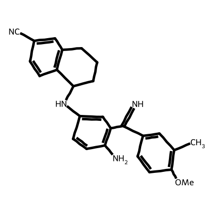 COc1ccc(C(=N)c2cc(NC3CCCc4cc(C#N)ccc43)ccc2N)cc1C